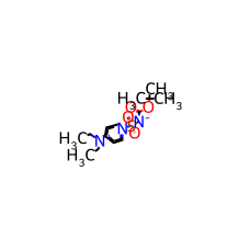 CC[N+](CC)=c1ccn(S(=O)(=O)[N-]C(=O)OC(C)(C)C)cc1